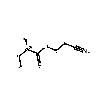 CC[C@@H](C)C(=O)OCCC#N